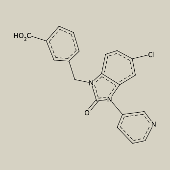 O=C(O)c1cccc(Cn2c(=O)n(-c3cccnc3)c3cc(Cl)ccc32)c1